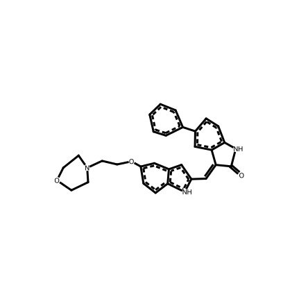 O=C1Nc2ccc(-c3ccccc3)cc2/C1=C\c1cc2cc(OCCN3CCOCC3)ccc2[nH]1